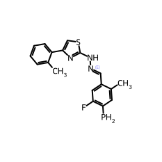 Cc1cc(P)c(F)cc1/C=N/Nc1nc(-c2ccccc2C)cs1